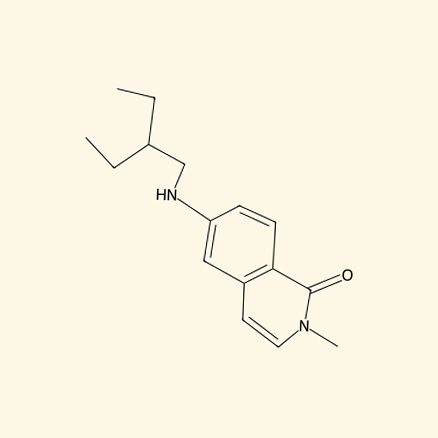 CCC(CC)CNc1ccc2c(=O)n(C)ccc2c1